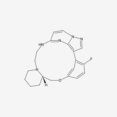 Fc1ccc2cc1-c1cnn3ccc(nc13)NCCN1CCCC[C@H]1CO2